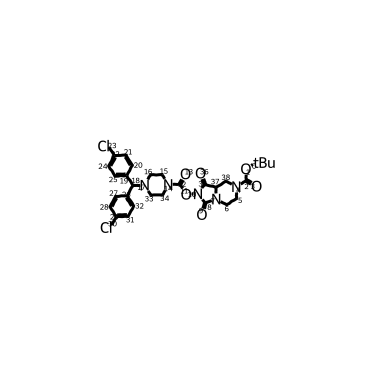 CC(C)(C)OC(=O)N1CCN2C(=O)N(OC(=O)N3CCN(C(c4ccc(Cl)cc4)c4ccc(Cl)cc4)CC3)C(=O)C2C1